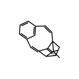 CC1(C)C2CCC13/C=C\c1cccc(c1)/C=C/2C3=O